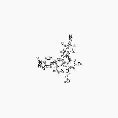 COCCOc1cc(F)cc(F)c1-c1c(-c2cc3n(n2)CCN(C#N)[C@@H]3C)nc(-c2ccc3c(cnn3C)c2)c2ccsc12